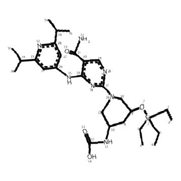 CC[Si](CC)(CC)OC1CC(NC(=O)O)CN(c2ncc(C(N)=O)c(Nc3cc(C(C)C)nc(C(C)C)c3)n2)C1